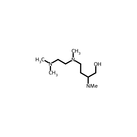 CNC(CO)CCN(C)CCN(C)C